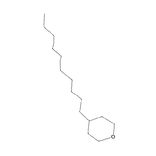 CCCCCCCCCCC1CCOCC1